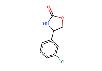 O=C1NC(c2cccc(Cl)c2)CO1